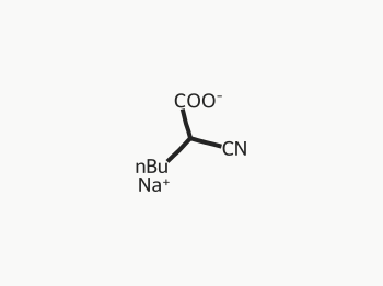 CCCCC(C#N)C(=O)[O-].[Na+]